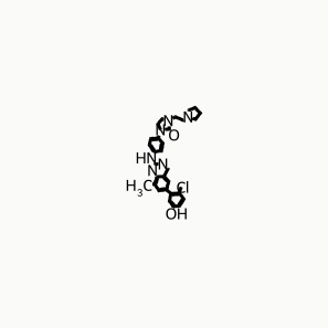 Cc1cc(-c2cc(O)ccc2Cl)cc2cnc(Nc3ccc(N4CCN(CCN5CCCC5)C4=O)cc3)nc12